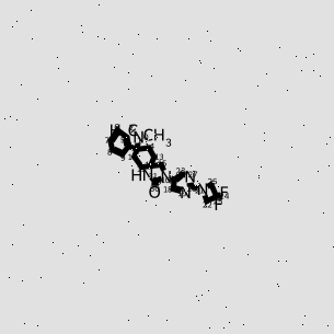 CN(C)C1(c2ccccc2)CCC2(CC1)CN(c1cnc(N3CC(F)(F)C3)nc1)C(=O)N2